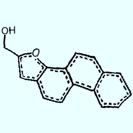 OCc1cc2ccc3c4ccccc4ccc3c2o1